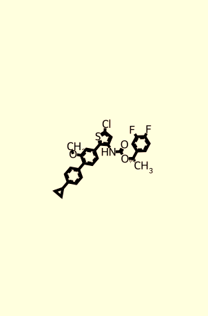 COc1cc(-c2sc(Cl)cc2NC(=O)O[C@H](C)c2ccc(F)c(F)c2)ccc1-c1ccc(C2CC2)cc1